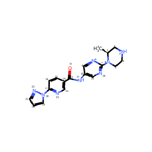 C[C@H]1CNCCN1c1ncc(NC(=O)c2ccc(-n3cccn3)nc2)cn1